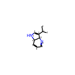 CC(C)C1=CNC2C=CC=NC12